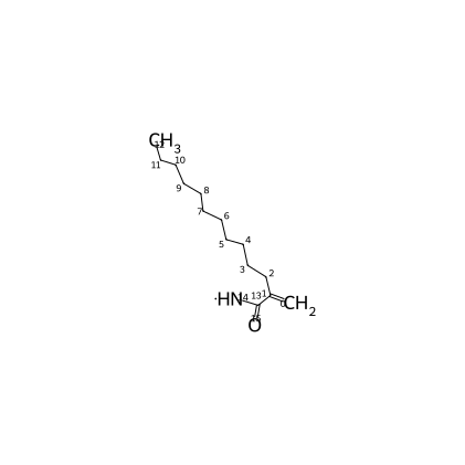 C=C(CCCCCCCCCCC)C([NH])=O